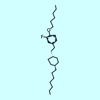 CCCCCCC[C@H]1CC[C@H](CCc2ccc(OCCCCCC)c(F)c2)CC1